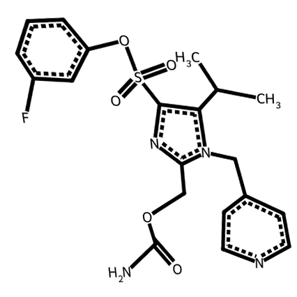 CC(C)c1c(S(=O)(=O)Oc2cccc(F)c2)nc(COC(N)=O)n1Cc1ccncc1